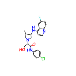 CC1CN(C(CO)C(=O)Nc2ccc(Cl)cc2)CC1Nc1ccnc2ccc(F)cc12